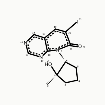 C[C@@]1(O)CCC[C@H]1n1c(=O)c(I)cc2cncnc21